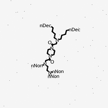 CCCCCCCCCCCCCCN(CCCCCCCCCCCCCC)CC(=O)N1CCN(C(=O)CN(CCCCCCCCC)CCN(CCCCCCCCC)CCCCCCCCC)CC1